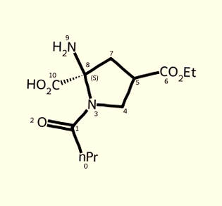 CCCC(=O)N1CC(C(=O)OCC)C[C@@]1(N)C(=O)O